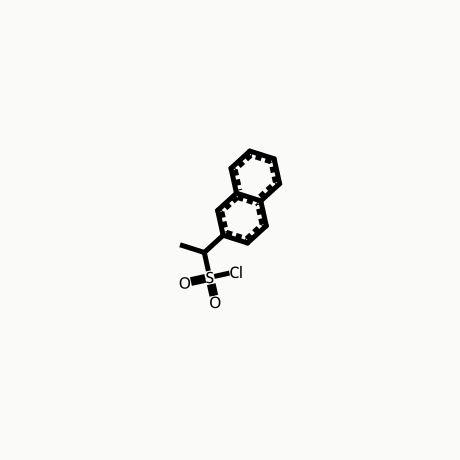 CC(c1ccc2ccccc2c1)S(=O)(=O)Cl